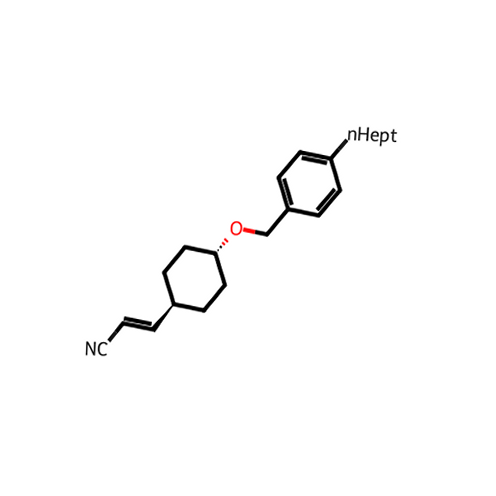 CCCCCCCc1ccc(CO[C@H]2CC[C@H](/C=C/C#N)CC2)cc1